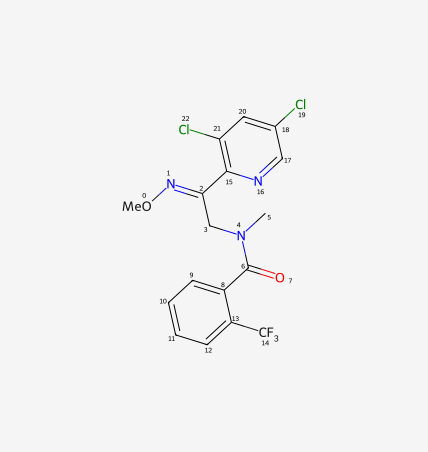 CO/N=C(\CN(C)C(=O)c1ccccc1C(F)(F)F)c1ncc(Cl)cc1Cl